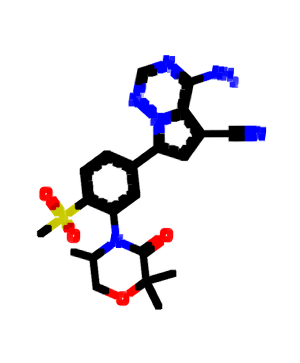 CC1COC(C)(C)C(=O)N1c1cc(-c2cc(C#N)c3c(N)ncnn23)ccc1S(C)(=O)=O